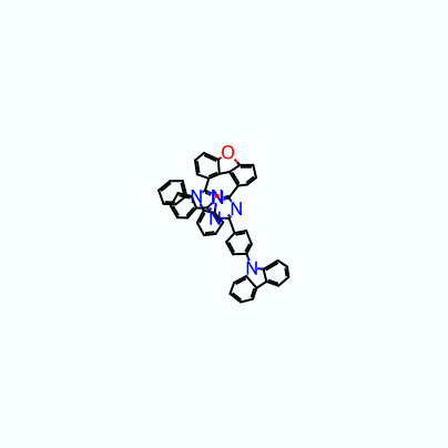 c1ccc(-c2nc(-c3ccc(-n4c5ccccc5c5ccccc54)cc3)nc(-c3cccc4oc5cccc(-c6nc7ccccc7n6-c6ccccc6)c5c34)n2)cc1